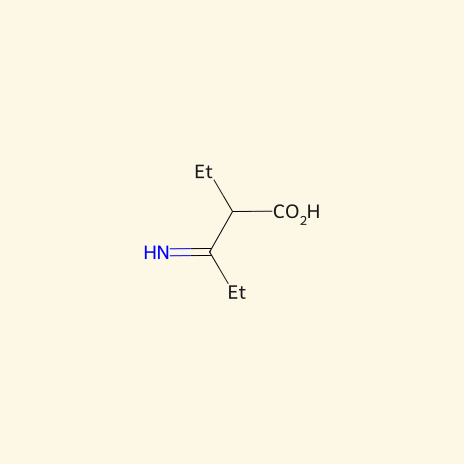 [CH2]CC(=N)C(CC)C(=O)O